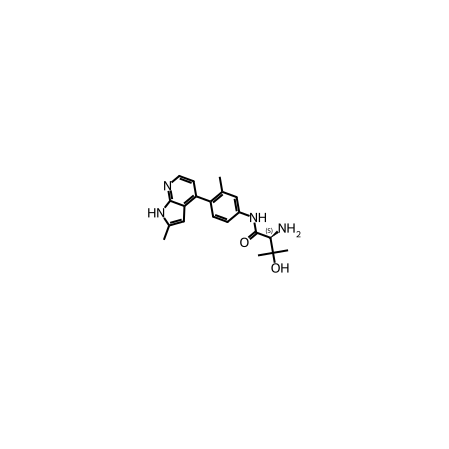 Cc1cc2c(-c3ccc(NC(=O)[C@@H](N)C(C)(C)O)cc3C)ccnc2[nH]1